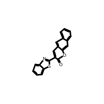 O=c1oc2cc3ccccc3cc2cc1-c1nc2ccccc2s1